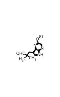 CCOc1cnc2[nH]cc(CC(C)(C)C=O)c2n1